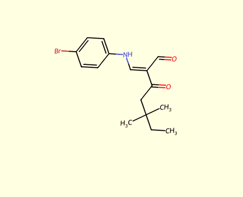 CCC(C)(C)CC(=O)/C(C=O)=C/Nc1ccc(Br)cc1